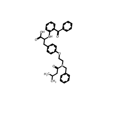 CC(C)CC(=O)N(CCOc1ccc(CC(Nc2ccccc2C(=O)c2ccccc2)C(=O)O)cc1)Cc1ccccc1